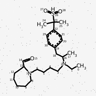 CCN(CCCCN1CCCCCC1C=O)C(C)Cc1ccc(C(C)(C)[SH](=O)=O)cc1